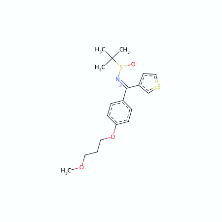 COCCCOc1ccc(/C(=N/[S+]([O-])C(C)(C)C)c2ccsc2)cc1